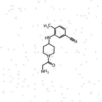 Cc1ccc(C#N)cc1NC1CCN(C(=O)CN)CC1